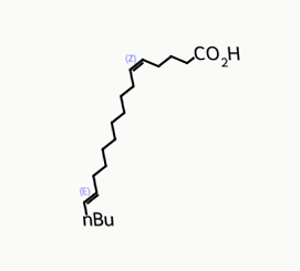 CCCC/C=C/CCCCCCCC/C=C\CCCC(=O)O